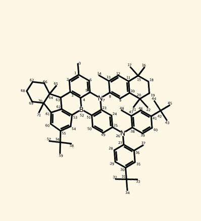 Cc1cc2c3c(c1)N(c1cc4c(cc1C)C(C)(C)CCC4(C)C)c1cc(N(c4ccc(C(C)(C)C)cc4C)c4ccc(C(C)(C)C)cc4C)ccc1B3c1cc(C(C)(C)C)cc3c1C2C1(C)CCCCC31C